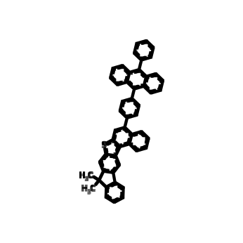 CC1(C)c2ccccc2-c2cc3c(cc21)sc1cc(-c2ccc(-c4c5ccccc5c(-c5ccccc5)c5ccccc45)cc2)c2ccccc2c13